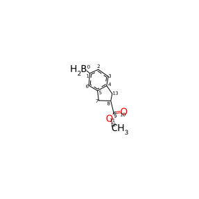 Bc1ccc2c(c1)CC(C(=O)OC)C2